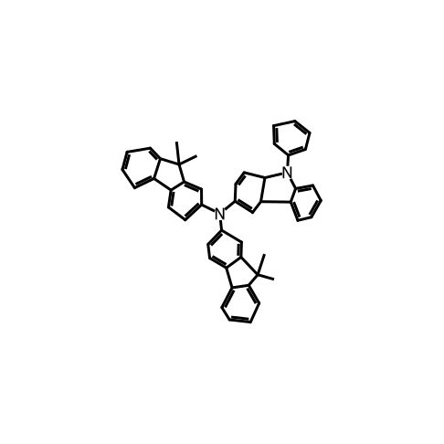 CC1(C)c2ccccc2-c2ccc(N(C3=CC4c5ccccc5N(c5ccccc5)C4C=C3)c3ccc4c(c3)C(C)(C)c3ccccc3-4)cc21